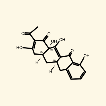 CC(=O)C1=C(O)C[C@@H]2C[C@@H]3Cc4cccc(O)c4C(=O)C3=C(O)[C@]2(O)C1=O